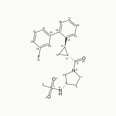 CS(=O)(=O)N[C@H]1CCN(C(=O)[C@@H]2C[C@H]2c2ccccc2-c2cccc(F)c2)C1